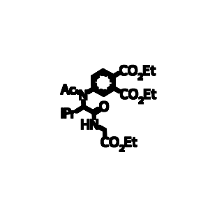 CCOC(=O)CNC(=O)C(C(C)C)N(C(C)=O)c1ccc(C(=O)OCC)c(C(=O)OCC)c1